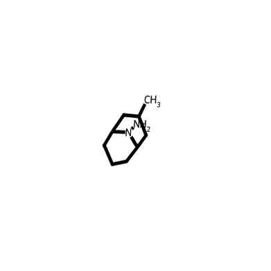 CC1CC2CCCC(C1)N2N